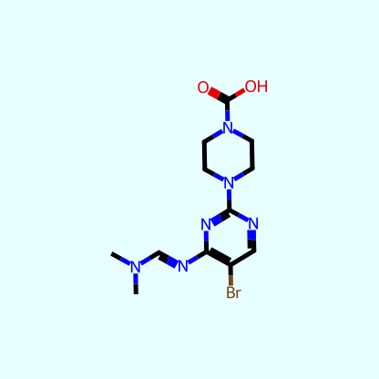 CN(C)/C=N/c1nc(N2CCN(C(=O)O)CC2)ncc1Br